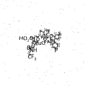 CC(C)COC(=O)N[C@H](C(=O)Nc1cncc(F)c1CC[C@@H]1CN(C(=O)O)[C@H](COC(=O)NCC(F)(F)F)CO1)C(c1ccc(F)cc1)c1ccc(F)cc1